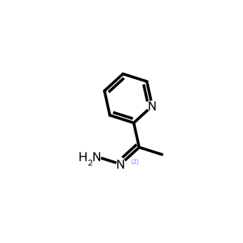 C/C(=N/N)c1ccccn1